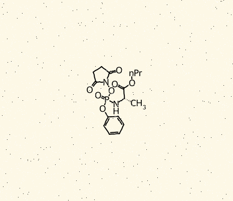 CCCOC(=O)[C@H](C)NP(=O)(Oc1ccccc1)ON1C(=O)CCC1=O